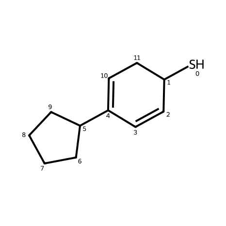 SC1C=CC(C2CCCC2)=CC1